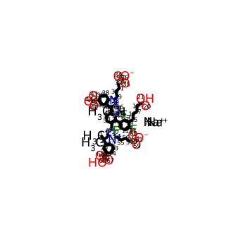 CC1(C)C(/C=C/C2=C(c3c(F)cc(F)c(CCCCC(=O)O)c3F)C(=C/C=C3/N(CCCCS(=O)(=O)[O-])c4ccc(S(=O)(=O)[O-])cc4C3(C)C)/CCC2)=[N+](CCCCS(=O)(=O)[O-])c2ccc(S(=O)(=O)O)cc21.[Na+].[Na+]